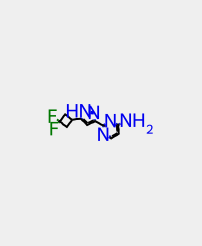 Nc1ccnc(-c2cc(C3CC(F)(F)C3)[nH]n2)n1